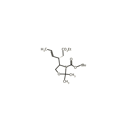 CC=C[C@H](CC(=O)OCC)C1COC(C)(C)N1C(=O)OC(C)(C)C